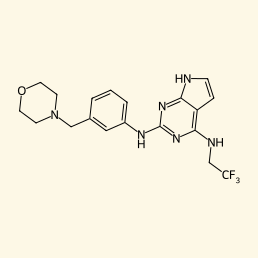 FC(F)(F)CNc1nc(Nc2cccc(CN3CCOCC3)c2)nc2[nH]ccc12